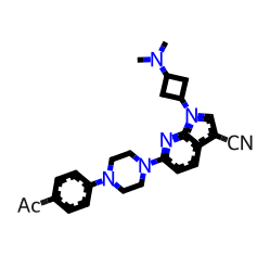 CC(=O)c1ccc(N2CCN(c3ccc4c(C#N)cn(C5CC(N(C)C)C5)c4n3)CC2)cc1